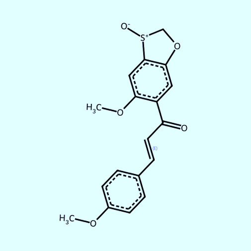 COc1ccc(/C=C/C(=O)c2cc3c(cc2OC)[S+]([O-])CO3)cc1